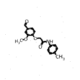 COc1cc(C=O)ccc1OCC(=O)Nc1ccc(C)cc1